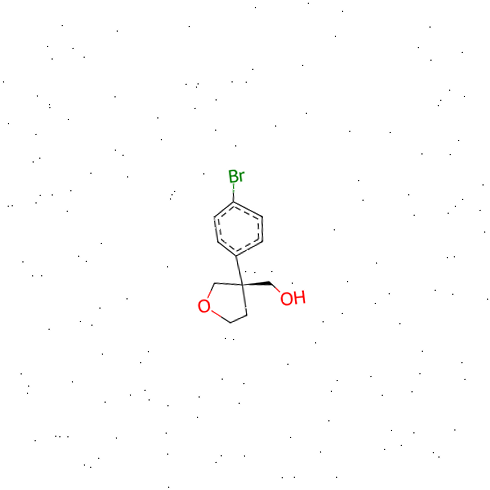 OC[C@@]1(c2ccc(Br)cc2)CCOC1